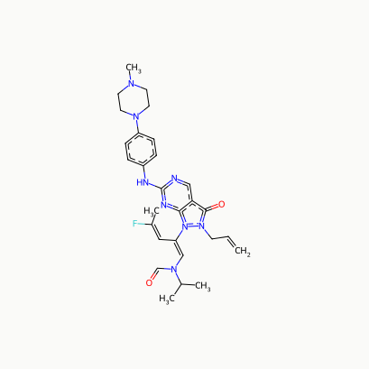 C=CCn1c(=O)c2cnc(Nc3ccc(N4CCN(C)CC4)cc3)nc2n1C(/C=C(\C)F)=C/N(C=O)C(C)C